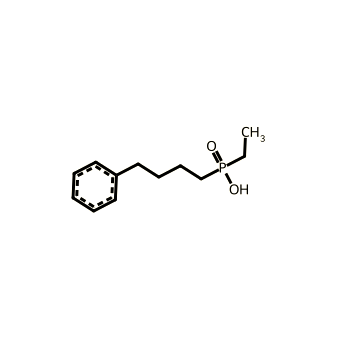 CCP(=O)(O)CCCCc1ccccc1